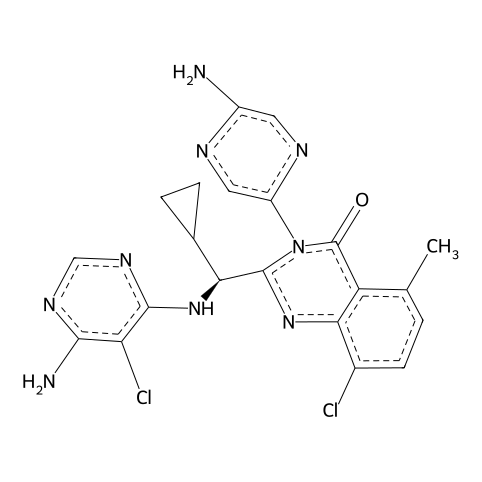 Cc1ccc(Cl)c2nc([C@@H](Nc3ncnc(N)c3Cl)C3CC3)n(-c3cnc(N)cn3)c(=O)c12